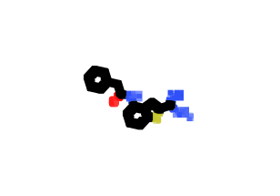 N=C(N)c1cc2c(NC(=O)Cc3ccccc3)cccc2s1